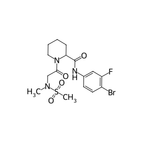 CN(CC(=O)N1CCCCC1C(=O)Nc1ccc(Br)c(F)c1)S(C)(=O)=O